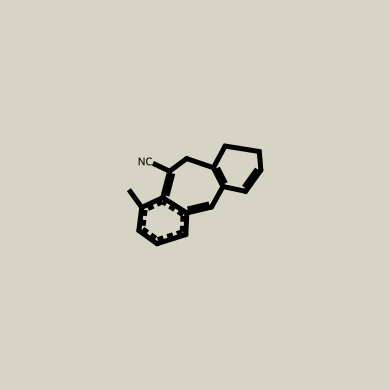 Cc1cccc2c1=C(C#N)CC1=C(C=CCC1)C=2